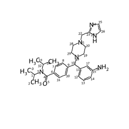 CC(C)N(C(=O)c1ccc(C(c2cccc(N)c2)N2CCN(Cc3ncc[nH]3)CC2)cc1)C(C)C